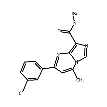 Cc1cc(-c2cccc(Cl)c2)nc2c(C(=O)NC(C)(C)C)ncn12